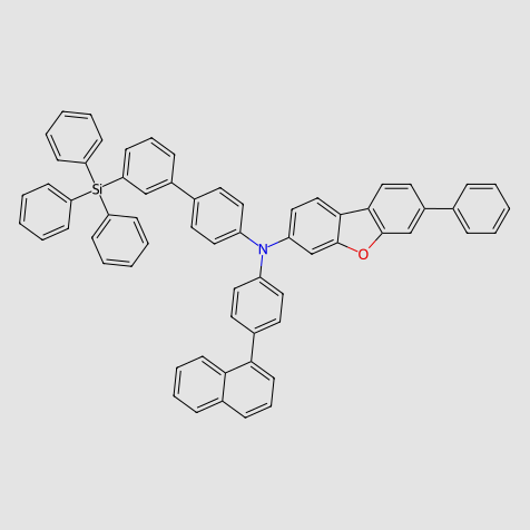 c1ccc(-c2ccc3c(c2)oc2cc(N(c4ccc(-c5cccc([Si](c6ccccc6)(c6ccccc6)c6ccccc6)c5)cc4)c4ccc(-c5cccc6ccccc56)cc4)ccc23)cc1